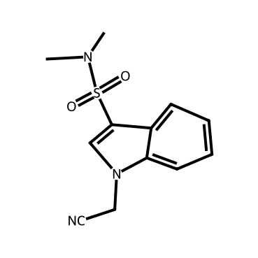 CN(C)S(=O)(=O)c1cn(CC#N)c2ccccc12